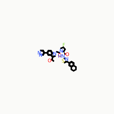 CC(=O)c1cn(CC(=O)N2C[C@H](F)C[C@H]2C(=O)Nc2nc(-c3ccc4c(c3)CCCC4)cs2)c2ccc(-c3ccnnc3)cc12